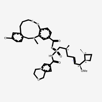 CO[C@@H](/C=C/C[C@H](C)CS(=O)(=NC(=O)c1ccc2c(c1)N(C)Cc1ccc(Cl)cc1CCCCO2)NC(=O)c1cc2n(c1)CCOC2)[C@@H]1CC[C@H]1C